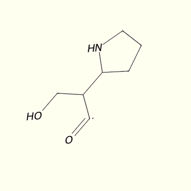 O=[C]C(CO)C1CCCN1